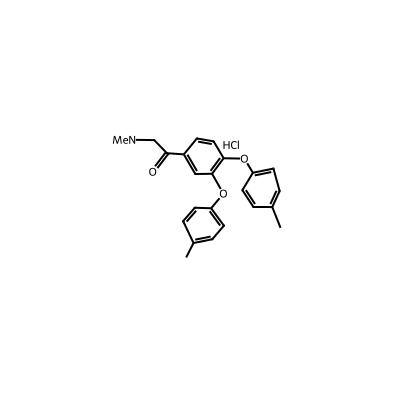 CNCC(=O)c1ccc(Oc2ccc(C)cc2)c(Oc2ccc(C)cc2)c1.Cl